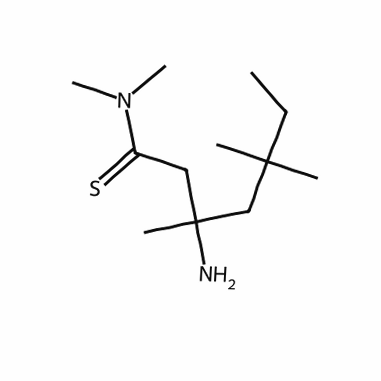 CCC(C)(C)CC(C)(N)CC(=S)N(C)C